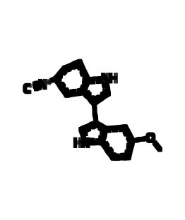 [C-]#[N+]c1ccc2[nH]cc(-c3c[nH]c4ccc(OC)cc34)c2c1